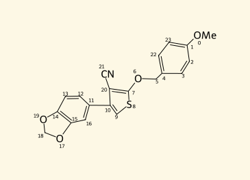 COc1ccc(COc2scc(-c3ccc4c(c3)OCO4)c2C#N)cc1